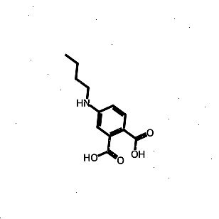 CCCCNc1ccc(C(=O)O)c(C(=O)O)c1